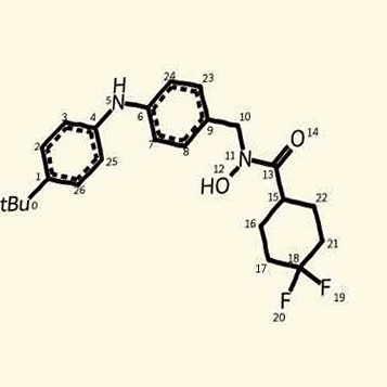 CC(C)(C)c1ccc(Nc2ccc(CN(O)C(=O)C3CCC(F)(F)CC3)cc2)cc1